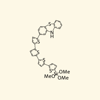 CO[Si](OC)(OC)c1ccc(-c2ccc(-c3ccc(-c4ccc(-c5ccc6c(c5)Nc5ccccc5S6)s4)s3)s2)s1